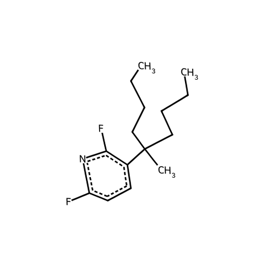 CCCCC(C)(CCCC)c1ccc(F)nc1F